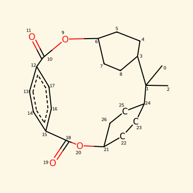 CC1(C)C2CCC(CC2)OC(=O)c2ccc(cc2)C(=O)OC2CCC1CC2